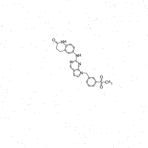 CS(=O)(=O)c1cccc(Cn2ccc3cnc(Nc4ccc5c(c4)CCC(=O)N5)nc32)c1